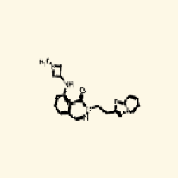 CN1CC(Nc2cccc3cnn(CCc4cn5ccccc5n4)c(=O)c23)C1